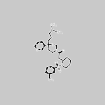 CN(C)CCCC1(c2cccnc2)CCN(C(=O)CC2CCCCN2S(=O)(=O)c2cccc(C(F)(F)F)c2)CC1